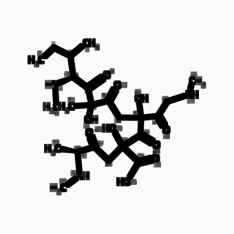 CCC(C)[C@H](NC)C(=O)C(C)(O)C(=O)CC(O)(C(=O)CNC)C(=O)C(O)(CC(=O)[C@H](C)NC)C(=O)O